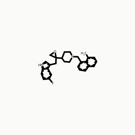 Cc1cccc2cccc(CN3CCC(C4(Cc5c[nH]c6ccc(F)cc56)CO4)CC3)c12